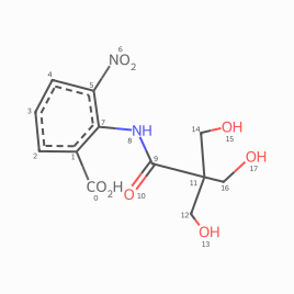 O=C(O)c1cccc([N+](=O)[O-])c1NC(=O)C(CO)(CO)CO